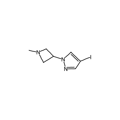 CN1CC(n2cc(I)cn2)C1